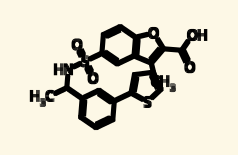 Cc1c(C(=O)O)oc2ccc(S(=O)(=O)NC(C)c3cccc(-c4cccs4)c3)cc12